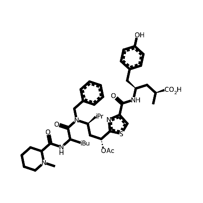 CCC(C)C(NC(=O)C1CCCCN1C)C(=O)N(Cc1ccccc1)[C@H](C[C@@H](OC(C)=O)c1nc(C(=O)N[C@@H](Cc2ccc(O)cc2)C[C@H](C)C(=O)O)cs1)C(C)C